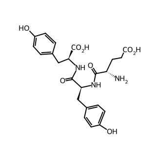 N[C@@H](CCC(=O)O)C(=O)N[C@@H](Cc1ccc(O)cc1)C(=O)N[C@@H](Cc1ccc(O)cc1)C(=O)O